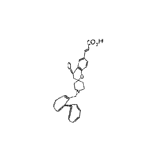 O=C(O)/C=C/c1ccc2c(c1)C(=O)CC1(CCN(Cc3ccccc3-c3ccccc3)CC1)O2